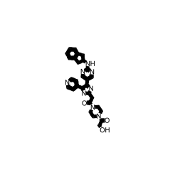 O=C(CO)N1CCN(C(=O)CC2N=C(c3ccncc3)C(c3cnc(NC4Cc5ccccc5C4)nc3)=N2)CC1